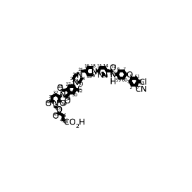 N#Cc1ccc(OC2CCC(NC(=O)c3ccc(N4CCC(CN5CCN(c6cc7c(cc6F)C(=O)N(C6CCC(=O)N(COC(=O)CCC(=O)O)C6=O)C7=O)CC5)CC4)nn3)CC2)cc1Cl